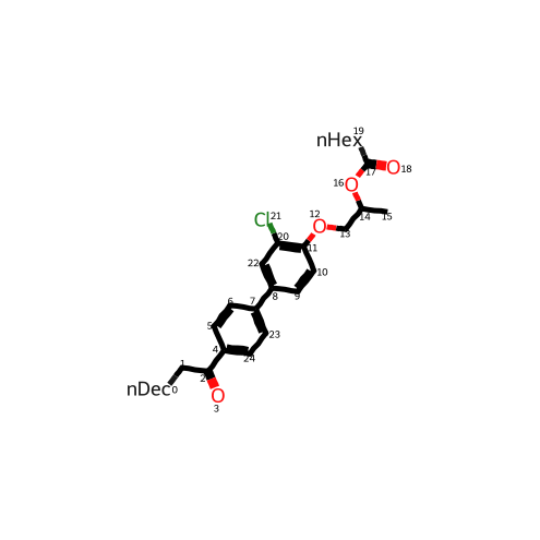 CCCCCCCCCCCC(=O)c1ccc(-c2ccc(OCC(C)OC(=O)CCCCCC)c(Cl)c2)cc1